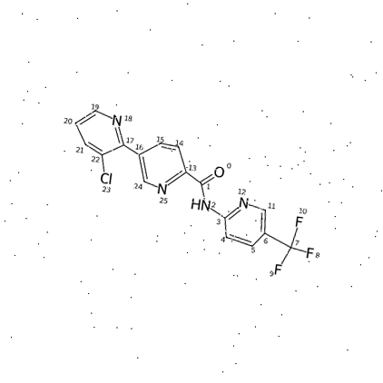 O=C(Nc1ccc(C(F)(F)F)cn1)c1ccc(-c2ncccc2Cl)cn1